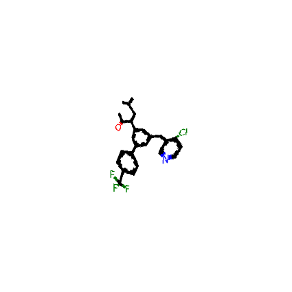 CC(=O)C(CC(C)C)c1cc(Cc2cnccc2Cl)cc(-c2ccc(C(F)(F)F)cc2)c1